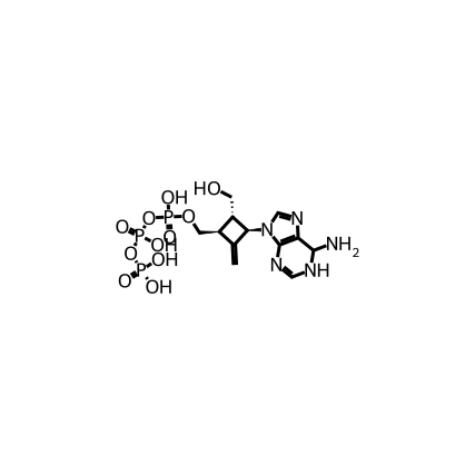 C=C1[C@@H](COP(=O)(O)OP(=O)(O)OP(=O)(O)O)[C@H](CO)[C@H]1n1cnc2c1N=CNC2N